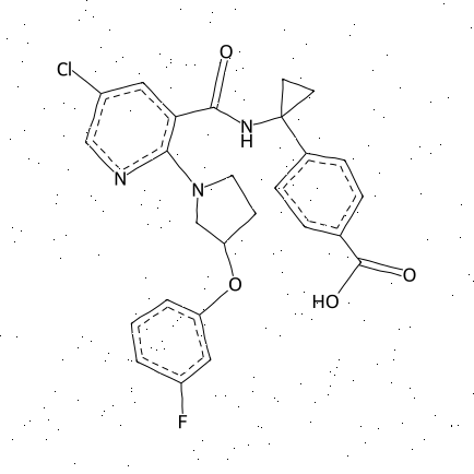 O=C(O)c1ccc(C2(NC(=O)c3cc(Cl)cnc3N3CCC(Oc4cccc(F)c4)C3)CC2)cc1